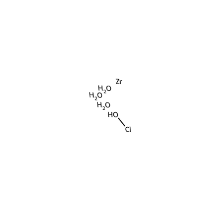 O.O.O.OCl.[Zr]